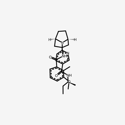 CC[C@H](C)NC(=O)c1ccc(N2[C@@H]3CC[C@H]2C[C@@H](NC(=O)c2cccc(OC)c2C)C3)nc1